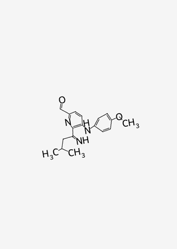 COc1ccc(Nc2ccc(C=O)nc2C(=N)CC(C)C)cc1